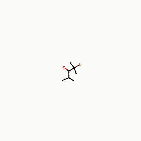 CC(C)C([O])C(C)(C)Br